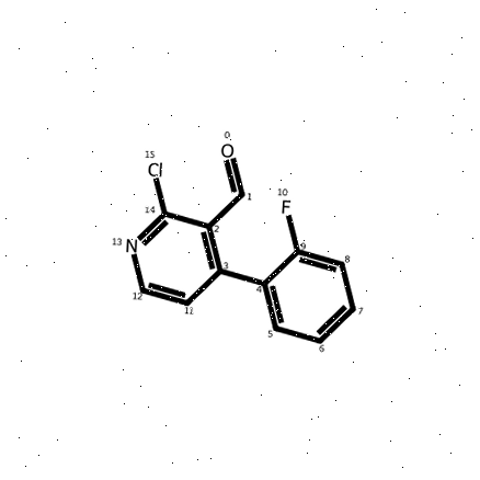 O=Cc1c(-c2ccccc2F)ccnc1Cl